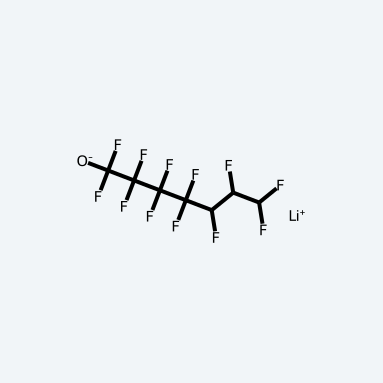 [Li+].[O-]C(F)(F)C(F)(F)C(F)(F)C(F)(F)C(F)C(F)C(F)F